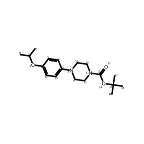 CC(C)Oc1ccc(N2CCN(C(=O)OC(C)(C)C)CC2)cc1